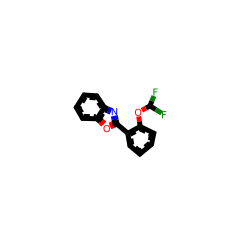 FC(F)Oc1ccccc1-c1nc2ccccc2o1